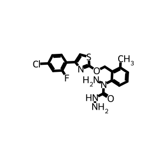 Cc1cccc(N(N)C(=O)NN)c1COc1nc(-c2ccc(Cl)cc2F)cs1